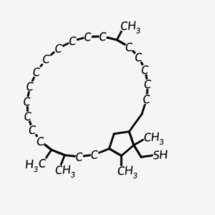 CC1CCCCCCCCCCCC(C)C(C)CCC2CC(CCCCCC1)C(C)(CS)C2C